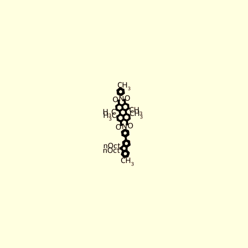 CCCCCCCCC1(CCCCCCCC)c2cc(C)ccc2-c2ccc(-c3ccc(N4C(=O)C5CC(C)C6C7C(C)CC8C(=O)N(c9ccc(C)cc9)C(=O)C9CC(C)C(C%10C(C)CC(C4=O)C5C6%10)C7C89)cc3)cc21